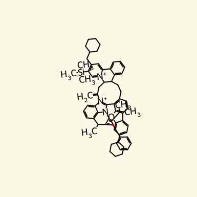 C=C1CC2C(CCc3ccc4c(oc5cc(C6CCCCC6)ccc54)c3-c3n4c5c(cccc5[n+]31)C(C)c1cc(-c3ccccc3)cc(C(C)C)c1-4)c1ccccc1-c1cc(CC3CCCCC3)c([Si](C)(C)C)c[n+]12